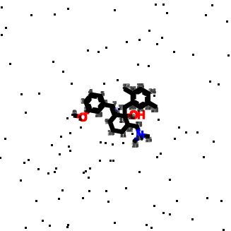 COc1cccc(/C=C2\CCCC(CN(C)C)C2(O)Cc2cc(C)ccc2C)c1